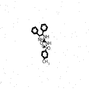 Cc1ccc(S(=O)(=O)NC(=O)N[C@H](c2ccccc2)[C@H](N)c2ccccc2)cc1